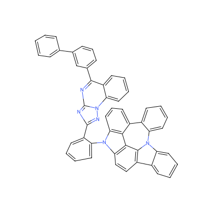 c1ccc(-c2cccc(-c3nc4nc(-c5ccccc5-n5c6cccc7c8ccccc8n8c9ccccc9c9ccc5c(c76)c98)nn4c4ccccc34)c2)cc1